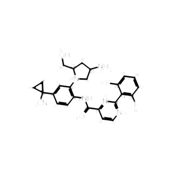 N#CC1(c2ccc(NC(=O)c3ccnc(-c4c(F)cccc4F)n3)c(N3CC(N)CC3CO)c2)CC1